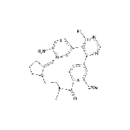 CCc1ncnc(-c2ccc(C(=O)N(C)CCN3CCCC3=O)c(OC)c2)c1-c1ccc(N)nc1